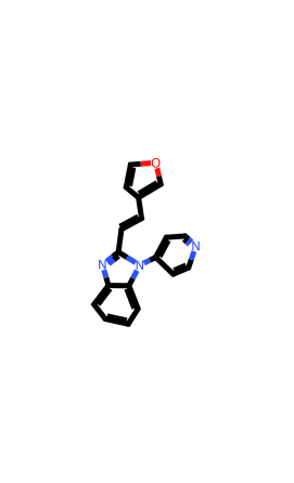 C(=C\c1nc2ccccc2n1-c1ccncc1)/c1ccoc1